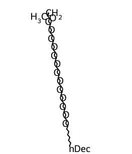 C=C(C)C(=O)OCCOCCOCCOCCOCCOCCOCCOCCOCCOCCOCCOCCOCCCCCCCCCCCCCCCCCC